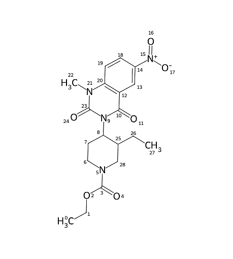 CCOC(=O)N1CCC(n2c(=O)c3cc([N+](=O)[O-])ccc3n(C)c2=O)C(CC)C1